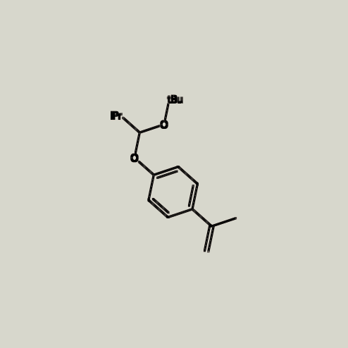 C=C(C)c1ccc(OC(OC(C)(C)C)C(C)C)cc1